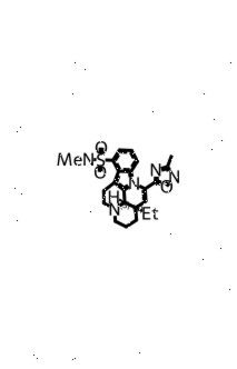 CC[C@@]12C=C(c3nc(C)no3)n3c4c(c5c(S(=O)(=O)NC)cccc53)CCN(CCC1)[C@H]42